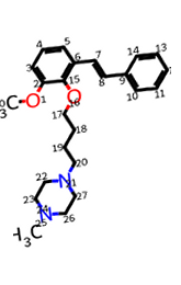 COc1cccc(C=Cc2ccccc2)c1OCCCCN1CCN(C)CC1